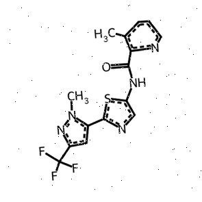 Cc1cccnc1C(=O)Nc1cnc(-c2cc(C(F)(F)F)nn2C)s1